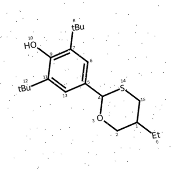 CCC1COC(c2cc(C(C)(C)C)c(O)c(C(C)(C)C)c2)SC1